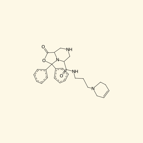 O=C(NCCCN1CC=CCC1)C1CNCC2C(=O)OC(c3ccccc3)(c3ccccc3)N12